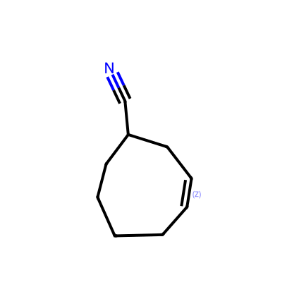 N#CC1C/C=C\CCCC1